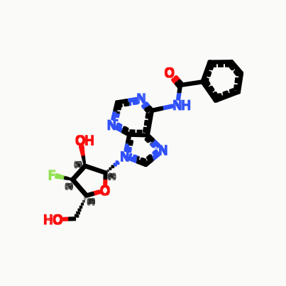 O=C(Nc1ncnc2c1ncn2[C@@H]1O[C@H](CO)[C@@H](F)[C@H]1O)c1ccccc1